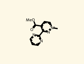 COC(=O)c1cc[n+](C)nc1-c1ncccn1